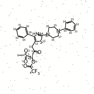 CS(=O)(=O)N(OC(=O)C(F)(F)F)C(=O)Cc1sc(N2CCN(c3ccccc3)CC2)nc1-c1ccccc1